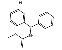 CSC(=O)NC(c1ccccc1)c1ccccc1.I